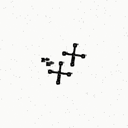 O=P([O-])([O-])[O-].O=P([O-])([O-])[O-].[Ni+2].[Zr+4]